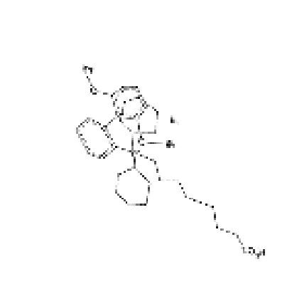 CC(C)Oc1cccc(OC(C)C)c1-c1ccccc1[P+](CCCCCCCC(=O)O)(C1CCCCC1)C1CCCCC1.[Br-]